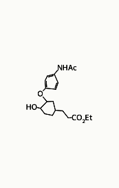 CCOC(=O)CCC1CCC(O)C(Oc2ccc(NC(C)=O)cc2)C1